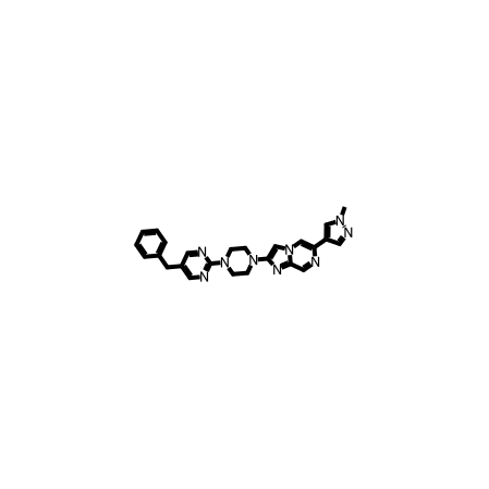 Cn1cc(-c2cn3cc(N4CCN(c5ncc(Cc6ccccc6)cn5)CC4)nc3cn2)cn1